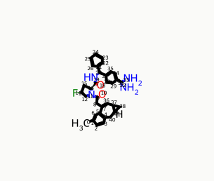 Cc1ccc2c(c1)C(CC(=O)N1C[C@H](F)C[C@H]1C(=O)N[C@@H](c1ccccc1)c1ccc(C(N)N)cc1)=CC1C[C@@H]1C2